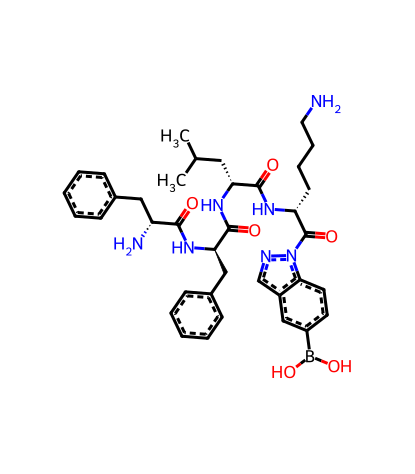 CC(C)C[C@@H](NC(=O)[C@@H](Cc1ccccc1)NC(=O)[C@H](N)Cc1ccccc1)C(=O)N[C@H](CCCCN)C(=O)n1ncc2cc(B(O)O)ccc21